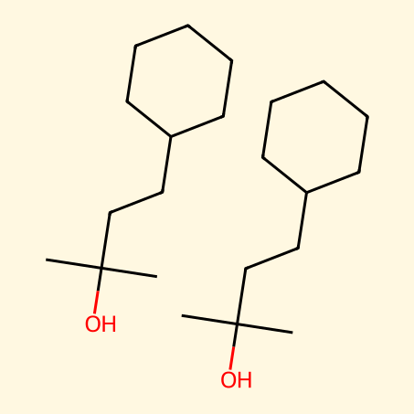 CC(C)(O)CCC1CCCCC1.CC(C)(O)CCC1CCCCC1